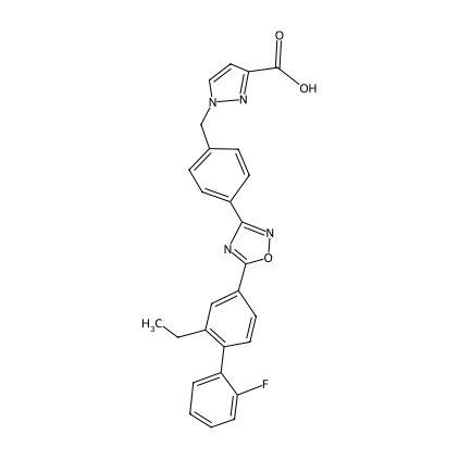 CCc1cc(-c2nc(-c3ccc(Cn4ccc(C(=O)O)n4)cc3)no2)ccc1-c1ccccc1F